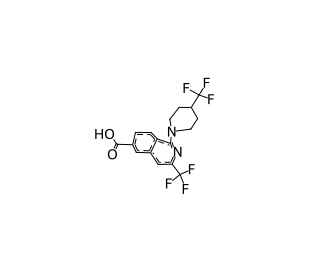 O=C(O)c1ccc2c(N3CCC(C(F)(F)F)CC3)nc(C(F)(F)F)cc2c1